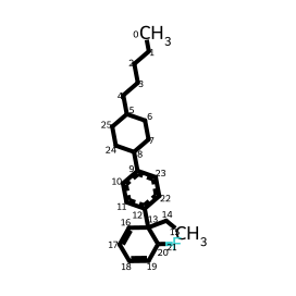 CCCCCC1CCC(c2ccc(C3(CC)C=CC=CC3F)cc2)CC1